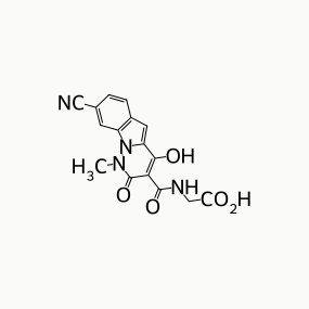 Cn1c(=O)c(C(=O)NCC(=O)O)c(O)c2cc3ccc(C#N)cc3n21